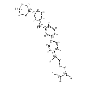 CC(=O)N(C)CCCN(C)c1ccc(-c2ccnc(Nc3cccc(N4CCNCC4)c3)n2)cn1